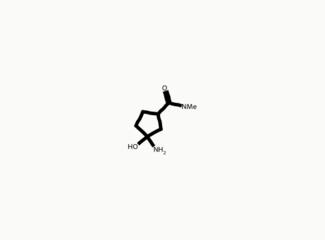 CNC(=O)C1CCC(N)(O)C1